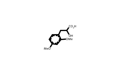 COc1ccc(CC(O)C(=O)O)c(OC)c1